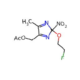 CC(=O)OCC1=NC(OCCF)([N+](=O)[O-])N=C1C